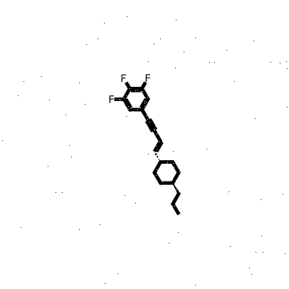 CCC[C@H]1CC[C@H](C=CC#Cc2cc(F)c(F)c(F)c2)CC1